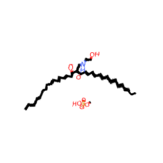 CCCCCCCCCCCCCCCC(=O)C(CNCCO)C(=O)CCCCCCCCCCCCCCC.COS(=O)(=O)O